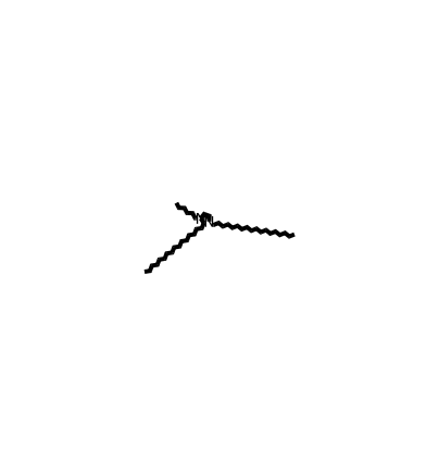 CCCCCCCCCCCCCCCCCCN1C=CN(CCCCCC)C1CCCCCCCCCCCCCCCC